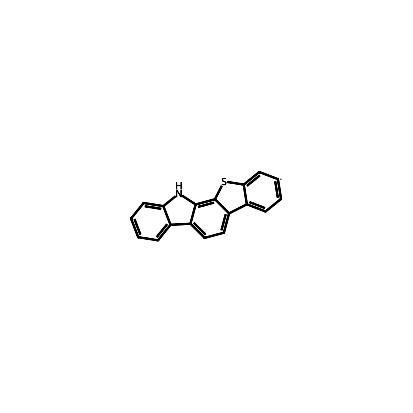 [c]1ccc2c(c1)sc1c2ccc2c3ccccc3[nH]c21